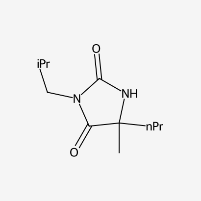 CCCC1(C)NC(=O)N(CC(C)C)C1=O